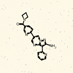 Nc1nn2cc(-c3ccc(C(=O)N4CCC4)cn3)cnc2c1-c1ccccn1